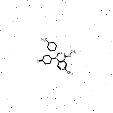 COC(=O)c1cc(C)ccc1N(C(=O)[C@H]1CC[C@H](C)CC1)C1CCC(=O)CC1